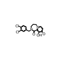 O=C1c2c(O)c(=O)ccn2CCCN1Cc1ccc(Cl)c(Cl)c1